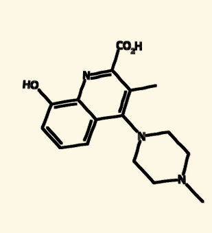 Cc1c(C(=O)O)nc2c(O)cccc2c1N1CCN(C)CC1